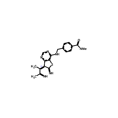 CNC(=O)c1ccc(CNc2ncnc3c2SC(=N)/C3=C(/C)C(C)=N)cc1